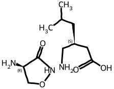 CC(C)C[C@H](CN)CC(=O)O.N[C@@H]1CONC1=O